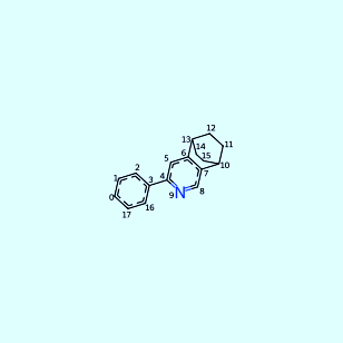 c1ccc(-c2cc3c(cn2)C2CCC3CC2)cc1